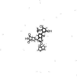 O=C1NC(=O)C2CN(c3nc(OCC45CCCN4CCC5)nc4c(F)c(-c5cc(O)cc(Cl)c5C5CC5)c(F)cc34)CC12